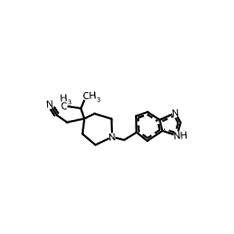 CC(C)C1(CC#N)CCN(Cc2ccc3nc[nH]c3c2)CC1